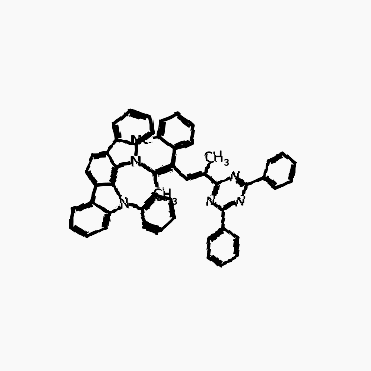 C/C(=C(\C=C(/C)c1nc(-c2ccccc2)nc(-c2ccccc2)n1)c1ccccc1C#N)n1c2ccccc2c2ccc3c4ccccc4n(-c4c#cccc4)c3c21